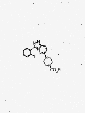 CCOC(=O)N1CCN(c2ccc3nnc(-c4ccccc4F)n3n2)CC1